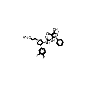 COCCN1C[C@@H](NC(=O)Nc2c(Cl)c(C)nn2C2C=CC=CC2)[C@H](c2ccc(F)c(F)c2)C1